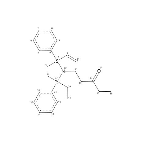 C=CS(C)(c1ccccc1)N(CCC(=O)CC)S(C)(C=C)c1ccccc1